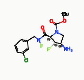 CC(C)(C)OC(=O)N1C[C@@H](N)[C@H](F)[C@H]1C(=O)N(F)Cc1cccc(Cl)c1